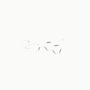 COc1cccc2cc(C(=O)NC3CN4CC[C@H]3C4)ccc12